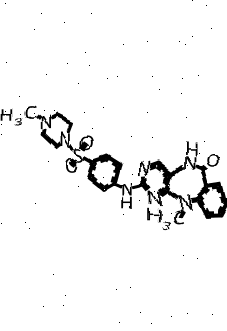 CN1CCN(S(=O)(=O)c2ccc(Nc3ncc4c(n3)N(C)c3ccccc3C(=O)N4)cc2)CC1